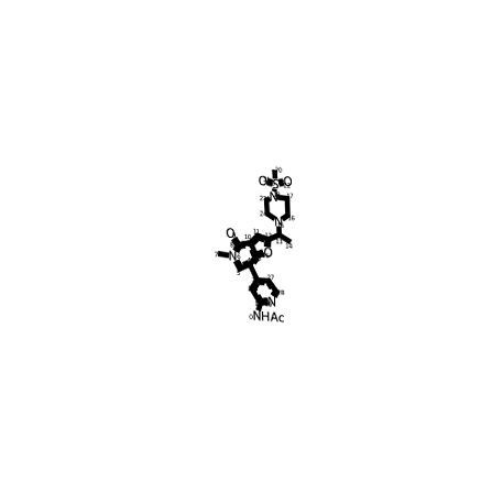 CC(=O)Nc1cc(-c2cn(C)c(=O)c3cc(C(C)N4CCN(S(C)(=O)=O)CC4)oc23)ccn1